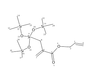 C=CCOC(=O)C(=C)C[Si](O[Si](C)(C)C)(O[Si](C)(C)C)O[Si](C)(C)C